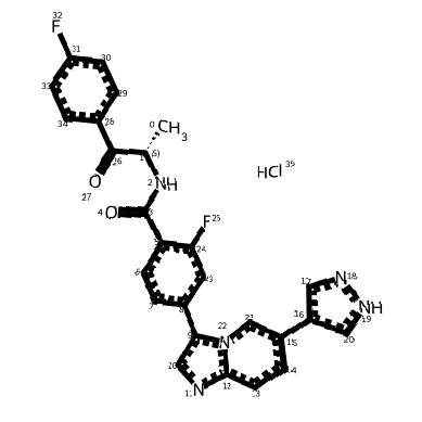 C[C@H](NC(=O)c1ccc(-c2cnc3ccc(-c4cn[nH]c4)cn23)cc1F)C(=O)c1ccc(F)cc1.Cl